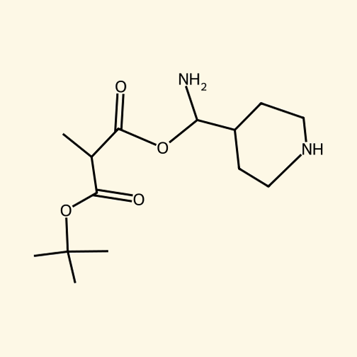 CC(C(=O)OC(N)C1CCNCC1)C(=O)OC(C)(C)C